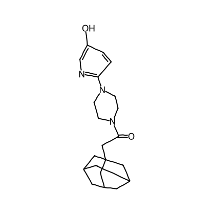 O=C(CC12CC3CC(CC(C3)C1)C2)N1CCN(c2ccc(O)cn2)CC1